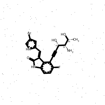 CC(=O)c1c[nH]c(C=C2C(=O)Nc3ccc(F)c(C#C[C@H](O)[C@@H](N)[C@@H](C)O)c32)c1